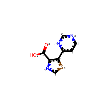 O=C(O)c1ncsc1-c1ccncn1